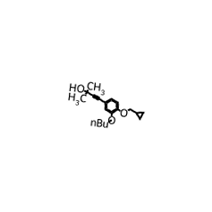 CCCCOc1cc(C#CC(C)(C)O)ccc1OCC1CC1